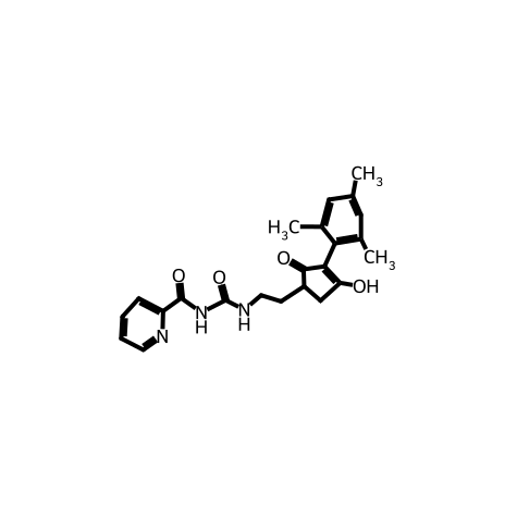 Cc1cc(C)c(C2=C(O)CC(CCNC(=O)NC(=O)c3ccccn3)C2=O)c(C)c1